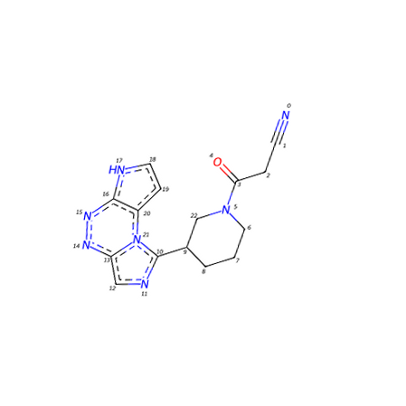 N#CCC(=O)N1CCCC(c2ncc3nnc4[nH]ccc4n23)C1